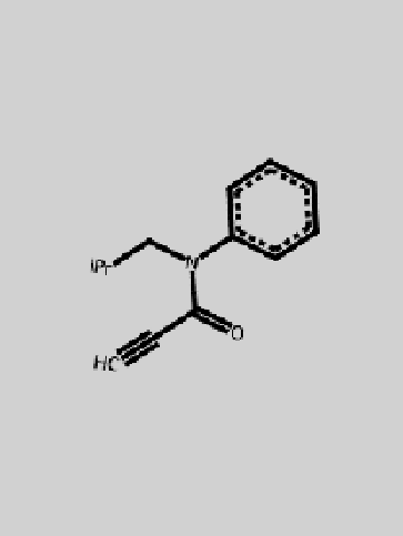 C#CC(=O)N(CC(C)C)c1ccccc1